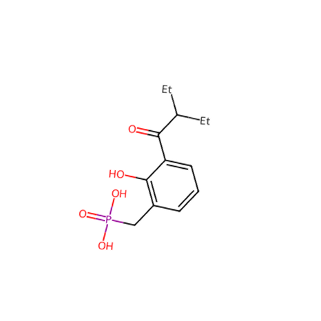 CCC(CC)C(=O)c1cccc(CP(=O)(O)O)c1O